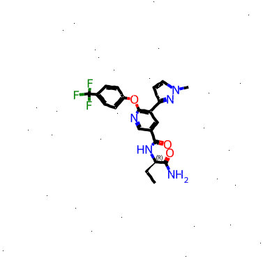 CC[C@@H](NC(=O)c1cnc(Oc2ccc(C(F)(F)F)cc2)c(-c2ccn(C)n2)c1)C(N)=O